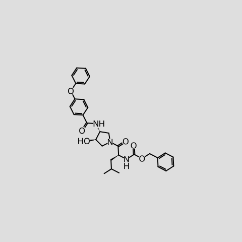 CC(C)C[C@H](NC(=O)OCc1ccccc1)C(=O)N1C[C@@H](O)[C@H](NC(=O)c2ccc(Oc3ccccc3)cc2)C1